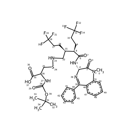 CN1C(=O)[C@@H](NC(=O)[C@H](CCC(F)(F)F)[C@H](CCC(F)(F)F)CNSCC(NC(=O)OC(C)(C)C)C(=O)O)N=C(c2ccccc2)c2ccccc21